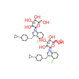 O.OC[C@H]1O[C@@H](n2cc(Cc3ccc(C4CC4)cc3)c3c(F)cccc32)[C@H](O)[C@@H](O)[C@@H]1O.OC[C@H]1O[C@@H](n2cc(Cc3ccc(C4CC4)cc3)c3c(F)cccc32)[C@H](O)[C@@H](O)[C@@H]1O